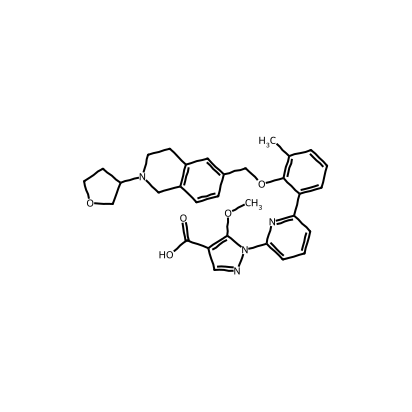 COc1c(C(=O)O)cnn1-c1cccc(-c2cccc(C)c2OCc2ccc3c(c2)CCN(C2CCOC2)C3)n1